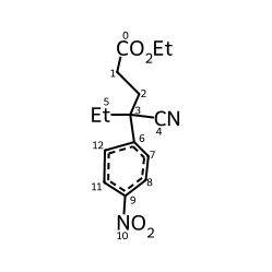 CCOC(=O)CCC(C#N)(CC)c1ccc([N+](=O)[O-])cc1